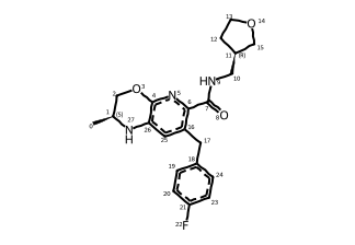 C[C@H]1COc2nc(C(=O)NC[C@H]3CCOC3)c(Cc3ccc(F)cc3)cc2N1